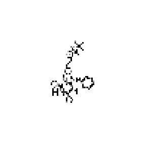 CC(C)(C)[Si](C)(C)OCCOCn1c([Se]c2ccccc2)c(F)c(=O)[nH]c1=O